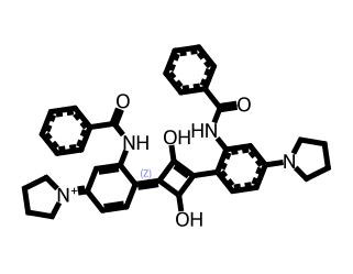 O=C(NC1=CC(=[N+]2CCCC2)C=C/C1=C1/C(O)=C(c2ccc(N3CCCC3)cc2NC(=O)c2ccccc2)C1O)c1ccccc1